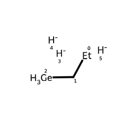 CC[CH2][GeH3].[H-].[H-].[H-]